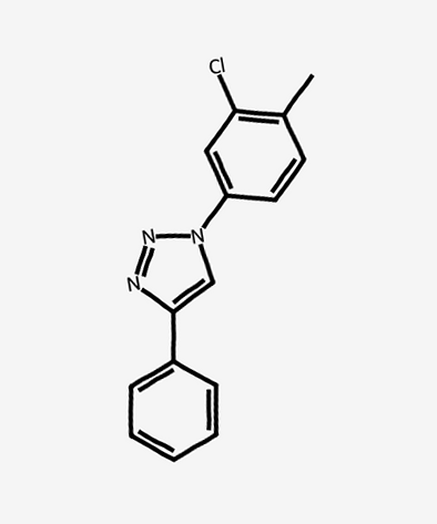 Cc1ccc(-n2cc(-c3ccccc3)nn2)cc1Cl